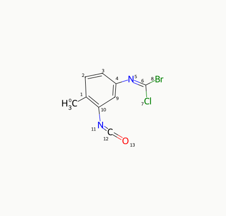 Cc1ccc(/N=C(\Cl)Br)cc1N=C=O